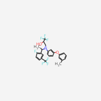 Cc1cccc(Oc2cccc(N(CC(O)C(F)(F)F)C(C)c3cc(C(F)(F)F)ccc3F)c2)c1